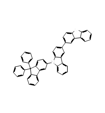 c1ccc(C2(c3ccccc3)c3ccccc3-c3cc(-n4c5ccccc5c5cc(-c6ccc7oc8ccccc8c7c6)ccc54)ccc32)cc1